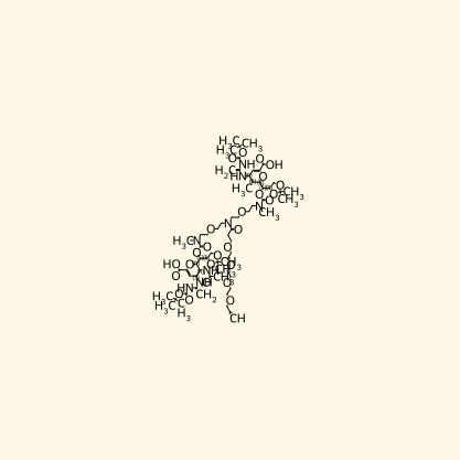 C#CCOCCOCCOCCOCCC(=O)N(CCOCCN(C)C(=O)O[C@@H]([C@@H]1OC(C(=O)O)=C[C@H](NC(=C)NC(=O)OC(C)(C)C)[C@H]1C)[C@H]1COC(C)(C)O1)CCOCCN(C)C(=O)O[C@@H]([C@@H]1OC(C(=O)O)=C[C@H](NC(=C)NC(=O)OC(C)(C)C)[C@H]1NC(C)=O)[C@H]1COC(C)(C)O1